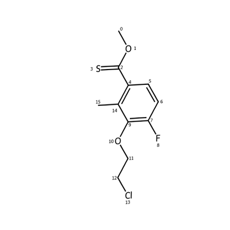 COC(=S)c1ccc(F)c(OCCCl)c1C